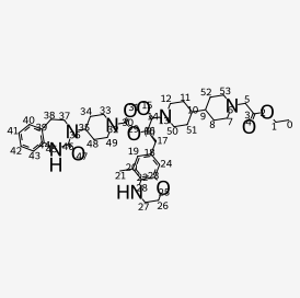 CCOC(=O)CN1CCC(C2CCN(C(=O)[C@@H](Cc3cc(C)c4c(c3)OCCN4)OC(=O)N3CCC(N4CCc5ccccc5NC4=O)CC3)CC2)CC1